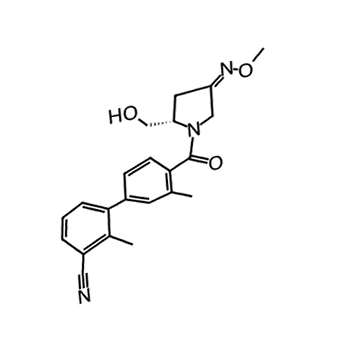 CO/N=C1/C[C@@H](CO)N(C(=O)c2ccc(-c3cccc(C#N)c3C)cc2C)C1